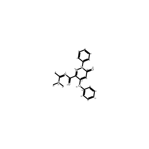 CC(=NC(=O)c1nn(-c2ccccc2)c(=O)cc1Oc1ccccc1)N(C)C